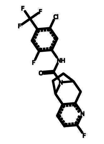 O=C(Nc1cc(Cl)c(C(F)(F)F)cc1F)N1C2CCC1c1ccc(F)nc1C2